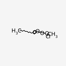 CCCCCCCCCc1ccc(OCCOCCOC(C)Cl)cc1